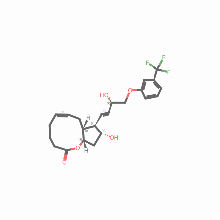 O=C1CCC/C=C\C[C@@H]2[C@@H](/C=C/[C@@H](O)COc3cccc(C(F)(F)F)c3)[C@H](O)C[C@@H]2O1